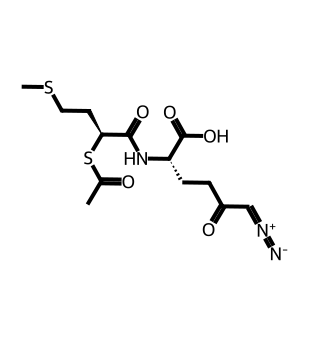 CSCC[C@H](SC(C)=O)C(=O)N[C@@H](CCC(=O)C=[N+]=[N-])C(=O)O